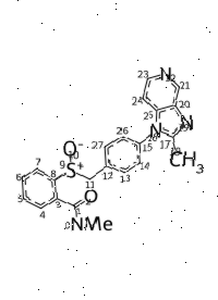 CNC(=O)c1ccccc1[S+]([O-])Cc1ccc(-n2c(C)nc3cnccc32)cc1